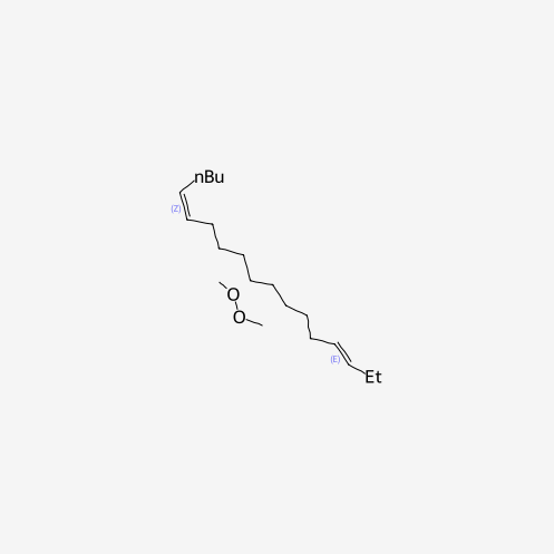 CC/C=C/CCCCCCCC/C=C\CCCC.COOC